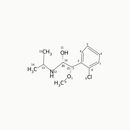 CO[C@@H](c1ccccc1Cl)[C@@H](O)NC(C)C